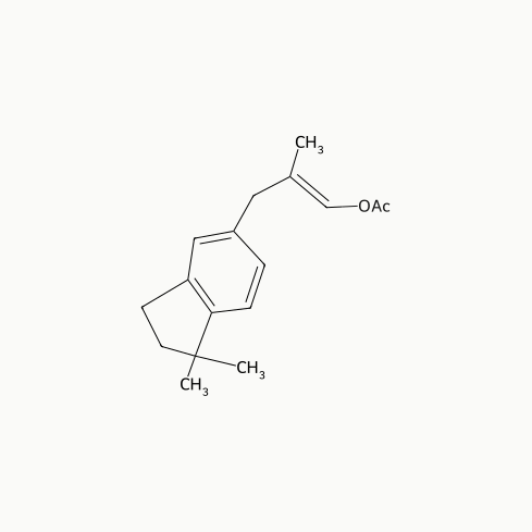 CC(=O)OC=C(C)Cc1ccc2c(c1)CCC2(C)C